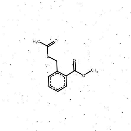 COC(=O)c1ccccc1CSC(C)=O